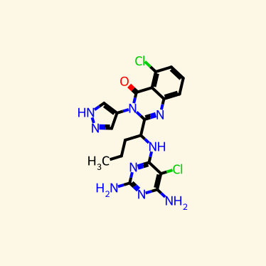 CCCC(Nc1nc(N)nc(N)c1Cl)c1nc2cccc(Cl)c2c(=O)n1-c1cn[nH]c1